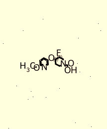 COc1ccc(O[C@@H]2CCN(C(=O)O)C[C@H]2F)cn1